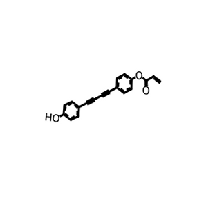 C=CC(=O)Oc1ccc(C#CC#Cc2ccc(O)cc2)cc1